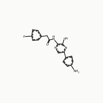 CCCc1nc(-c2ccc(N)cc2)cnc1NC(=O)Cc1ccc(F)cc1